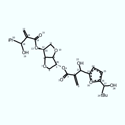 C=C(C(=O)O[C@@H]1COC2C1OC[C@@H]2OC(=O)C(=C)C(O)C(C)C)C(O)c1ccc(C(O)C(C)(C)C)o1